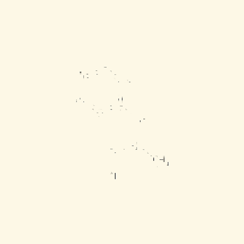 CC(CCl)Cc1[c]cccc1